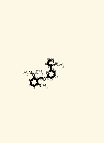 Cc1cccc(N(C)N)c1COc1cccc(-c2ccnn2C)n1